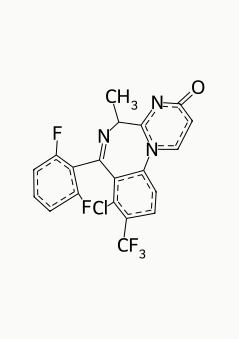 CC1N=C(c2c(F)cccc2F)c2c(ccc(C(F)(F)F)c2Cl)-n2ccc(=O)nc21